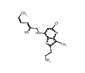 C/C=C\C=C(/S)CNc1cc(Cl)nc2c(C)c(CCN)sc12